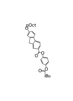 CCCCCCCCOc1ccc2c(c1)Cc1cc(C(=O)Oc3ccc(OC(=O)C(C)CC)cc3)ccc1-2